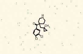 CC1(CC2(C(=O)c3ccc(Cl)c(Cl)c3)CCNCC2)CC1